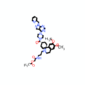 COc1cc2c(cc1OC)[C@]1(CC[C@@H](C(=O)N3CCN(c4ncnc5c4cnn5Cc4ccccn4)CC3)CC1)N(CCCNC(=O)COC(C)=O)CC2